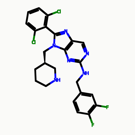 Fc1ccc(CNc2ncc3nc(-c4c(Cl)cccc4Cl)n(C[C@@H]4CCCNC4)c3n2)cc1F